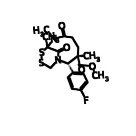 COC(=O)[C@@]1(C)CCC(=O)N(C)C2(C)SSCN(C2=O)[C@H]1c1ccc(F)cc1